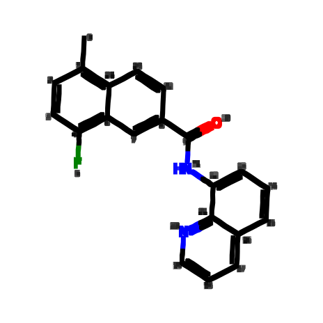 Cc1ccc(F)c2cc(C(=O)Nc3cccc4cccnc34)ccc12